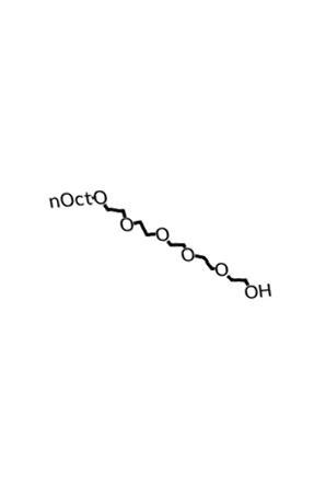 CCCCCCCCOCCOCCOCCOCCOCCO